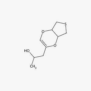 CC(O)CC1=COC2CSCC2O1